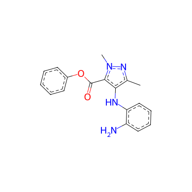 Cc1nn(C)c(C(=O)Oc2ccccc2)c1Nc1ccccc1N